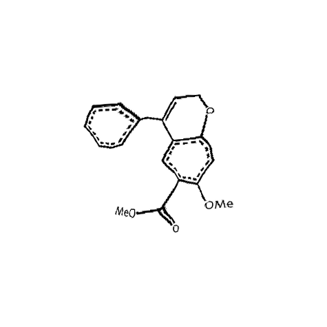 COC(=O)c1cc2c(cc1OC)OCC=C2c1ccccc1